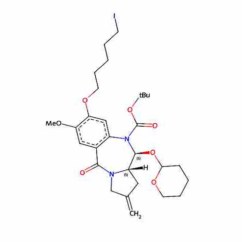 C=C1C[C@H]2[C@H](OC3CCCCO3)N(C(=O)OC(C)(C)C)c3cc(OCCCCCI)c(OC)cc3C(=O)N2C1